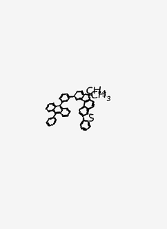 CC1(C)C2=CCC(c3cccc(-c4c5ccccc5c(-c5ccccc5)c5ccccc45)c3)C=C2c2c1ccc1c2ccc2c3ccccc3sc12